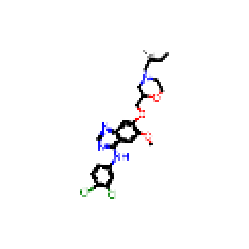 CC[C@@H](C)CN1CCOC(COc2cc3ncnc(Nc4ccc(Cl)c(Cl)c4)c3cc2OC)C1